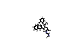 C=C(/C=C\C=C/C)CN1C(=O)C(Cc2ccccc2)C(O)N(C2C=CC=CC2C)C1=O